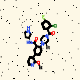 CCOc1ncccc1-c1ccc(N2CCN(C(=O)c3ccc(F)cc3Cl)C[C@H]2CC)c(C(=O)N[C@@H]2CCNC2)c1